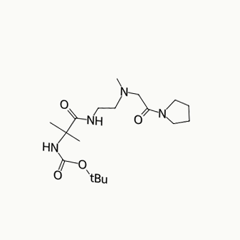 CN(CCNC(=O)C(C)(C)NC(=O)OC(C)(C)C)CC(=O)N1CCCC1